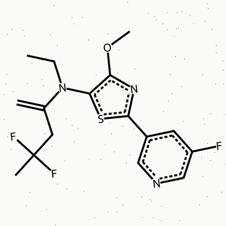 C=C(CC(C)(F)F)N(CC)c1sc(-c2cncc(F)c2)nc1OC